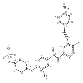 Cc1ccc(NC(=O)c2ccc(CN3CCN(CP(C)(C)=O)CC3)c(Cl)c2)cc1C#Cc1cnc(N)nc1